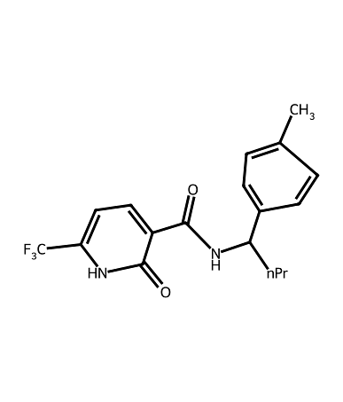 CCCC(NC(=O)c1ccc(C(F)(F)F)[nH]c1=O)c1ccc(C)cc1